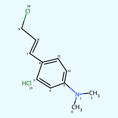 CN(C)c1ccc(C=CCCl)cc1.Cl